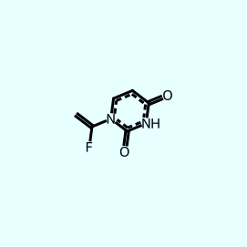 C=C(F)n1ccc(=O)[nH]c1=O